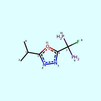 CC(C)c1nnc(C(F)(P)P)o1